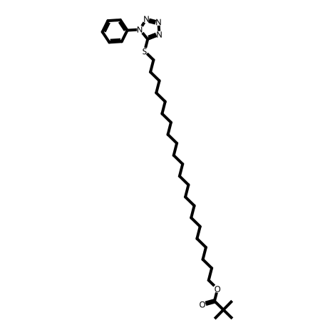 CC(C)(C)C(=O)OCCCCCCCCCCCCCCCCCCCCCCSc1nnnn1-c1ccccc1